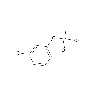 CP(=O)(O)Oc1cccc(O)c1